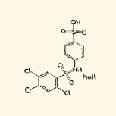 O=S(=O)(O)c1ccc(NS(=O)(=O)c2cc(Cl)c(Cl)cc2Cl)cc1.[NaH]